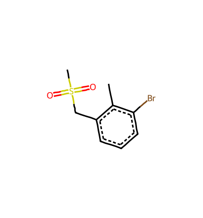 Cc1c(Br)cccc1CS(C)(=O)=O